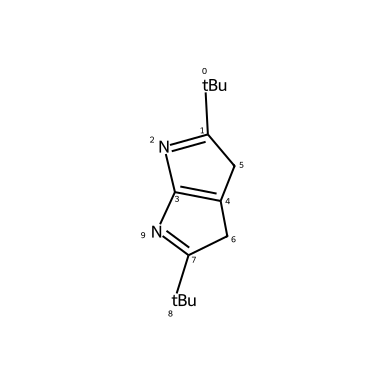 CC(C)(C)C1=NC2=C(C1)CC(C(C)(C)C)=N2